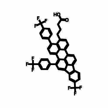 O=C(O)CCCc1ccc2c3ccc4c5c(cc(-c6ccc(C(F)(F)F)cc6)c(c6ccc(-c7ccc(C(F)(F)F)cc7)c1c26)c53)-c1cc(C(F)(F)F)ccc1-4